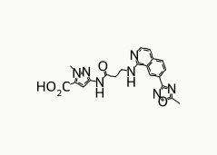 Cc1nc(-c2ccc3ccnc(NCCC(=O)Nc4cc(C(=O)O)n(C)n4)c3c2)no1